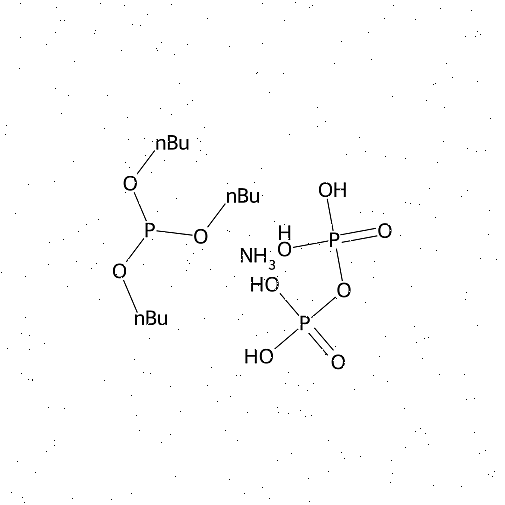 CCCCOP(OCCCC)OCCCC.N.O=P(O)(O)OP(=O)(O)O